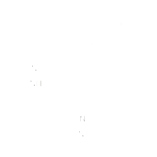 CCOC(=O)C(Cc1cccc(C=NN)c1)OCc1ccc(C=NN)cc1